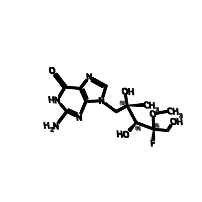 CO[C@](F)(CO)[C@@H](O)[C@@](C)(O)Cn1cnc2c(=O)[nH]c(N)nc21